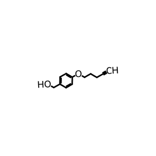 C#CCCCOc1ccc(CO)cc1